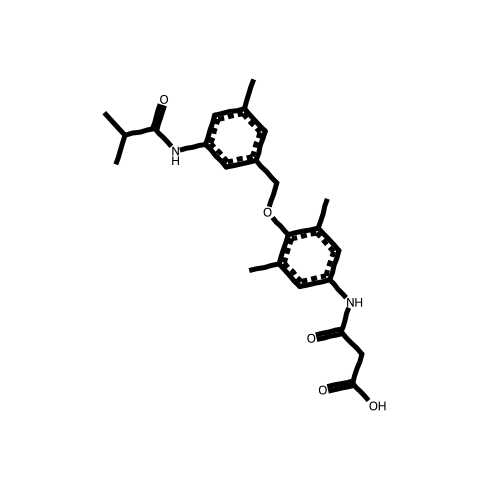 Cc1cc(COc2c(C)cc(NC(=O)CC(=O)O)cc2C)cc(NC(=O)C(C)C)c1